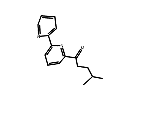 CC(C)CCC(=O)c1cccc(-c2ccccn2)n1